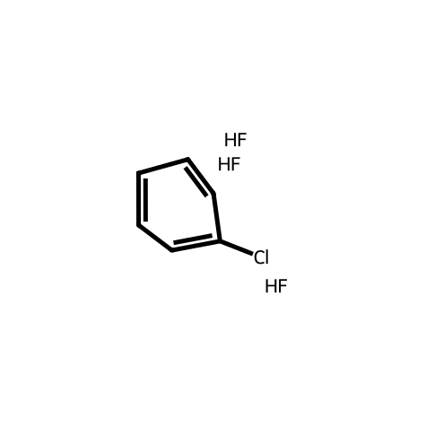 Clc1ccccc1.F.F.F